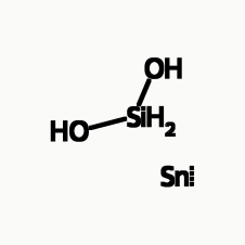 O[SiH2]O.[Sn]